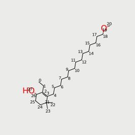 CCC1=C(CCCCCCCCCCCCCCCOC)C(C)(C)CCC1O